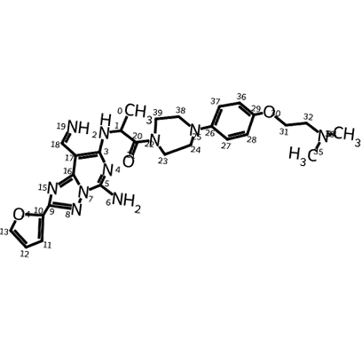 CC(Nc1nc(N)n2nc(-c3ccco3)nc2c1C=N)C(=O)N1CCN(c2ccc(OCCN(C)C)cc2)CC1